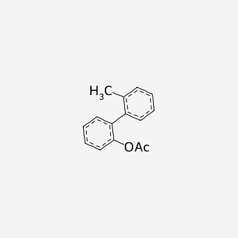 CC(=O)Oc1ccccc1-c1ccccc1C